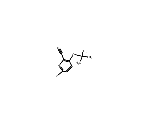 CC(C)(C)Oc1ccc(Br)nc1C#N